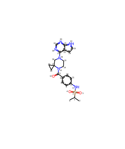 CC(C)S(=O)(=O)Nc1ccc(C(=O)N2CCN(c3ncnc4[nH]ccc34)CC23CC3)cc1